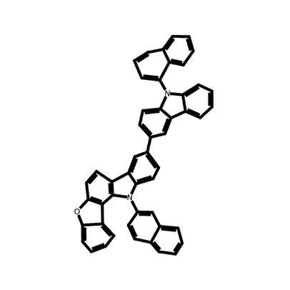 c1ccc2cc(-n3c4ccc(-c5ccc6c(c5)c5ccccc5n6-c5cccc6ccccc56)cc4c4ccc5oc6ccccc6c5c43)ccc2c1